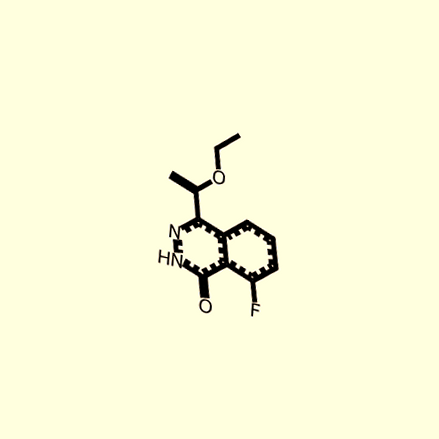 C=C(OCC)c1n[nH]c(=O)c2c(F)cccc12